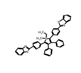 CC[Si]1(C)C(c2ccc(-c3nc4ccccc4s3)cc2)=C(c2ccccc2)C(c2ccccc2)=C1c1ccc(-c2nc3ccccc3s2)cc1